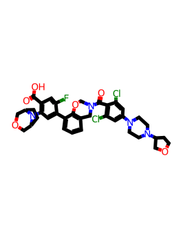 O=C(O)c1cc(F)c(-c2cccc3c2OCN(C(=O)c2c(Cl)cc(N4CCN(C5CCOC5)CC4)cc2Cl)C3)cc1N1C2CCC1COC2